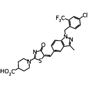 Cc1nn(Cc2ccc(Cl)cc2C(F)(F)F)c2ccc(/C=C3/SC(N4CCC(C(=O)O)CC4)=NC3=O)cc12